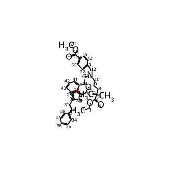 CCOC(=O)C(C)(C)CCCN(Cc1ccc(C(=O)OC)cc1)CC(OCc1ccc(CCc2ccccc2)s1)c1ccccc1